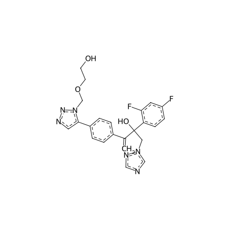 C=C(c1ccc(-c2cnnn2COCCO)cc1)C(O)(Cn1cncn1)c1ccc(F)cc1F